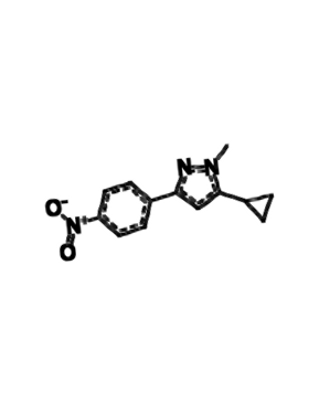 Cn1nc(-c2ccc([N+](=O)[O-])cc2)cc1C1CC1